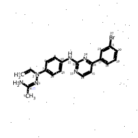 C=CN(/N=C(/C)N)c1ccc(Nc2nccc(-c3cccc(Br)c3)n2)cc1